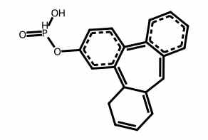 O=[PH](O)Oc1ccc2c(c1)=C1CC=CC=C1C=c1ccccc1=2